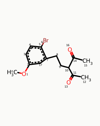 COc1ccc(Br)c(CCC(C(C)=O)C(C)=O)c1